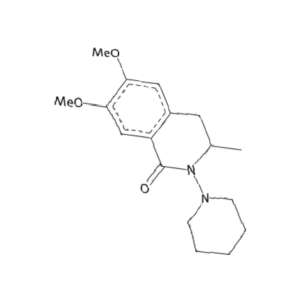 COc1cc2c(cc1OC)C(=O)N(N1CCCCC1)C(C)C2